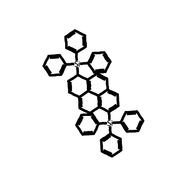 C1=CC([Si](c2ccccc2)(c2ccccc2)c2ccccc2)c2ccc3ccc([Si](c4ccccc4)(c4ccccc4)c4ccccc4)c4c3c2C1=CC4